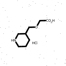 Cl.O=C(O)COCC1CCCNC1